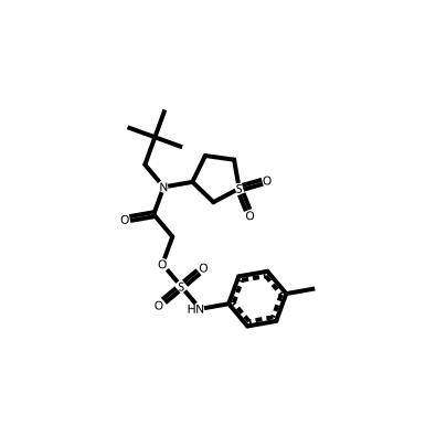 Cc1ccc(NS(=O)(=O)OCC(=O)N(CC(C)(C)C)C2CCS(=O)(=O)C2)cc1